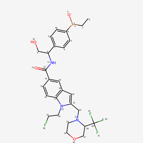 CC[S+]([O-])c1ccc(C(CO)NC(=O)c2ccc3c(c2)cc(CN2CCOCC2C(F)(F)F)n3CCF)cc1